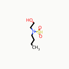 CCCCN(CCO)[SH](=O)=O